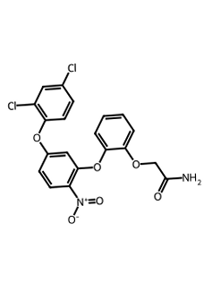 NC(=O)COc1ccccc1Oc1cc(Oc2ccc(Cl)cc2Cl)ccc1[N+](=O)[O-]